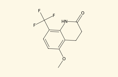 COc1ccc(C(F)(F)F)c2c1CCC(=O)N2